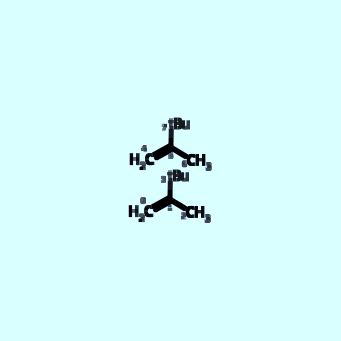 C=C(C)C(C)(C)C.C=C(C)C(C)(C)C